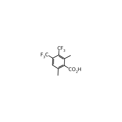 Cc1cc(C(F)(F)F)c(C(F)(F)F)c(C)c1C(=O)O